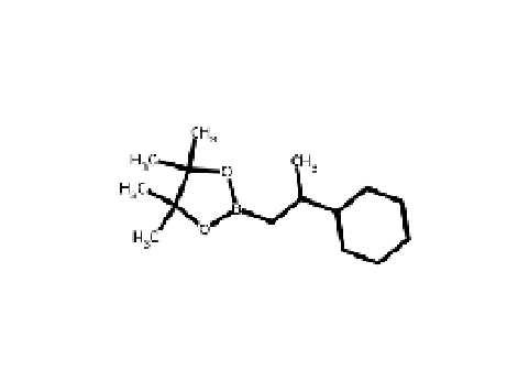 CC(CB1OC(C)(C)C(C)(C)O1)C1CCCCC1